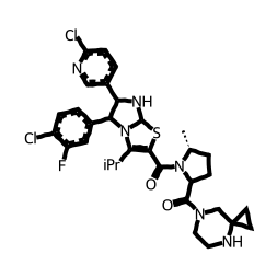 CC(C)C1=C(C(=O)N2C(C(=O)N3CCNC4(CC4)C3)CC[C@H]2C)SC2NC(c3ccc(Cl)nc3)C(c3ccc(Cl)c(F)c3)N12